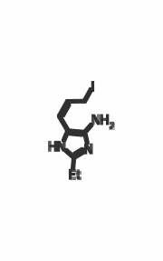 CCc1nc(N)c(/C=C\CI)[nH]1